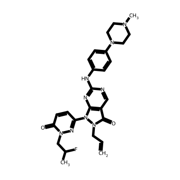 C=CCn1c(=O)c2cnc(Nc3ccc(N4CCN(C)CC4)cc3)nc2n1-c1ccc(=O)n(CC(C)F)n1